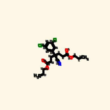 CCCOC(=O)CCC(C#N)(CCC(=O)OCCC)c1cc(Cl)cc(Cl)c1